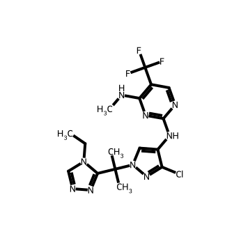 CCn1cnnc1C(C)(C)n1cc(Nc2ncc(C(F)(F)F)c(NC)n2)c(Cl)n1